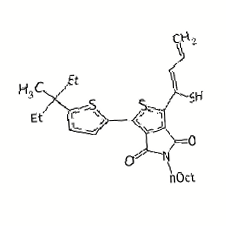 C=C/C=C(\S)c1sc(-c2ccc(C(C)(CC)CC)s2)c2c1C(=O)N(CCCCCCCC)C2=O